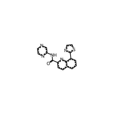 O=C(Nc1cnccn1)c1ccc2cccc(-c3nccs3)c2n1